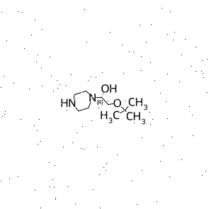 CC(C)(C)OC[C@@H](O)N1CCNCC1